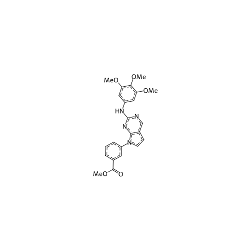 COC(=O)c1cccc(-n2ccc3cnc(Nc4cc(OC)c(OC)c(OC)c4)nc32)c1